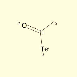 CC(=O)[Te]